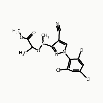 COC(=O)C(C)ON(C)c1nn(-c2c(Cl)cc(Cl)cc2Cl)cc1C#N